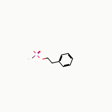 CC(C)P(=O)(O)OCCc1ccccc1